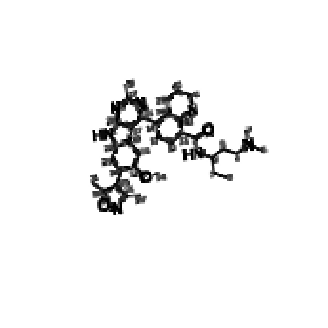 CCC(CCN(C)C)NC(=O)c1ccc(-c2nc(C)nc3[nH]c4cc(-c5c(C)noc5C)c(OC)cc4c23)c2cccnc12